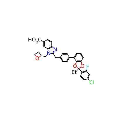 CCC1(c2ccc(Cl)cc2F)Oc2cccc(-c3ccc(Cc4nc5ccc(C(=O)O)cc5n4C[C@@H]4CCO4)cc3)c2O1